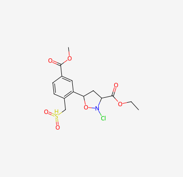 CCOC(=O)C1CC(c2cc(C(=O)OC)ccc2C[SH](=O)=O)ON1Cl